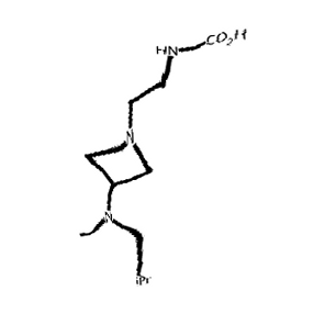 CC(C)CN(C)C1CN(CCNC(=O)O)C1